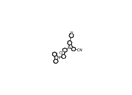 N#Cc1ccc2c(c1)c1cc(-c3ccncc3)ccc1n2-c1ccc2oc3c(-n4c5ccccc5c5ccccc54)cccc3c2c1